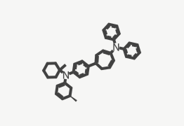 C[C@H]1C=CC=C(N(c2ccc(C3=CC=C(N(c4ccccc4)c4ccccc4)C=CC3)cc2)C2(C)CCCCC2)C1